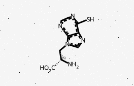 N[C@@H](Cn1cnc2c(S)ncnc21)C(=O)O